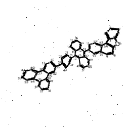 c1ccc2c(c1)oc1ccc3cc(-c4c5ccccc5c(-c5ccc(-c6ccc7c8ccccc8c8ccccc8c7c6)cc5)c5ccccc45)ccc3c12